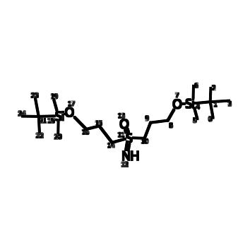 CC(C)(C)[Si](C)(C)OCCCS(=N)(=O)CCCO[Si](C)(C)C(C)(C)C